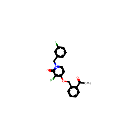 COC(=O)c1ccccc1COc1ccn(Cc2cccc(F)c2)c(=O)c1Br